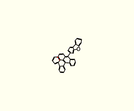 c1ccc(-c2ccccc2-c2c3ccccc3c(-c3ccc4c(c3)oc3ccccc34)c3ccccc23)cc1